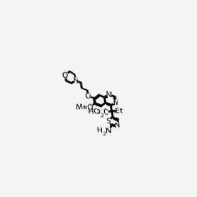 CCC(C(=O)O)(c1cnc(N)s1)c1ncnc2cc(OCCCN3CCOCC3)c(OC)cc12